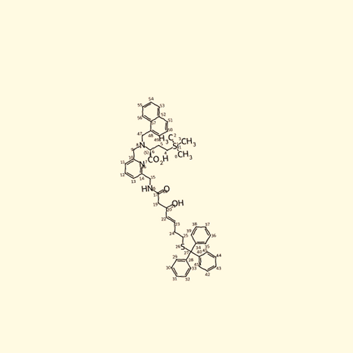 C[Si](C)(C)CC[C@@H](C(=O)O)N(Cc1cccc(CNC(=O)CC(O)C=CCCSC(c2ccccc2)(c2ccccc2)c2ccccc2)n1)Cc1cccc2ccccc12